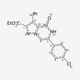 CCOC(=O)c1nn2cc(-c3ccc(Cl)cc3)[nH]c(=O)c2c1C(C)C